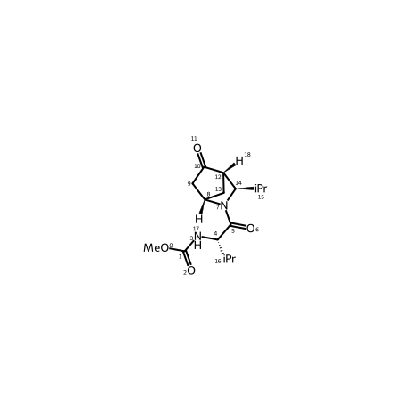 COC(=O)N[C@H](C(=O)N1[C@@H]2CC(=O)[C@@H](C2)[C@H]1C(C)C)C(C)C